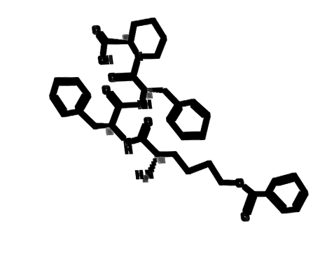 N[C@@H](CCCCOC(=O)c1ccccc1)C(=O)N[C@@H](Cc1ccccc1)C(=O)N[C@@H](Cc1ccccc1)C(=O)N1CCCC[C@@H]1C(=O)O